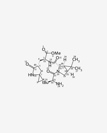 COC(=O)[C@H](C[C@@H]1CC2(CC2)NC1=O)NC(=O)[C@@H]1[C@@H]2[C@H](CN1C(=O)[C@@H](N)C(C)(C)C)C2(C)C